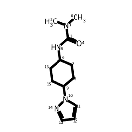 CN(C)C(=O)NC1CCC(n2c[c]cn2)CC1